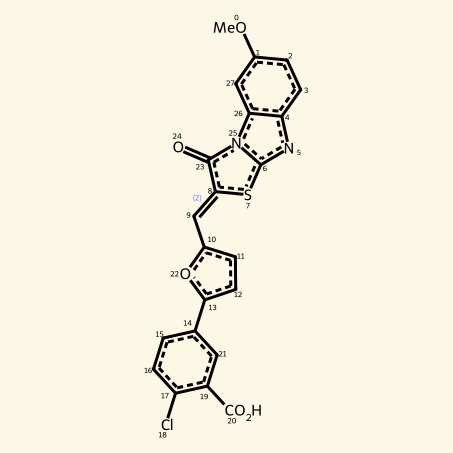 COc1ccc2nc3s/c(=C\c4ccc(-c5ccc(Cl)c(C(=O)O)c5)o4)c(=O)n3c2c1